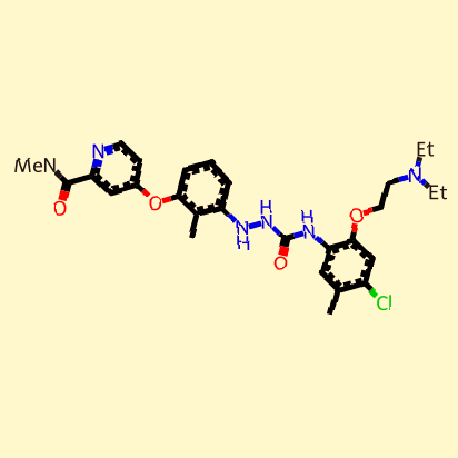 CCN(CC)CCOc1cc(Cl)c(C)cc1NC(=O)NNc1cccc(Oc2ccnc(C(=O)NC)c2)c1C